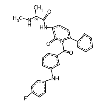 CN[C@@H](C)C(=O)Nc1ccc(-c2ccccc2)n(C(=O)c2cccc(Nc3ccc(F)cc3)c2)c1=O